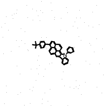 CC(C)(C)c1ccc(-c2ccc3ccc4c5c(ccc2c35)cc2c3ccccc3n(-c3ccccc3)c24)cc1